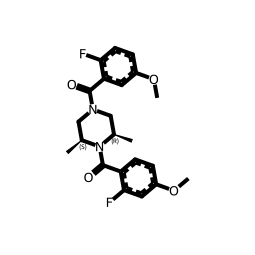 COc1ccc(C(=O)N2[C@H](C)CN(C(=O)c3cc(OC)ccc3F)C[C@@H]2C)c(F)c1